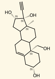 C#C[C@]1(O)[C@@H](O)CC2C3CC=C4C[C@@H](O)CC[C@]4(CO)C3CC[C@@]21C